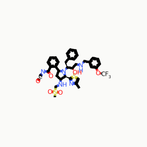 Cc1csc([C@H]2C(NCS(C)(=O)=O)CC(c3ccccc3C(=O)N=C=O)N2[C@@H](Cc2ccccc2)[C@H](O)CNCc2cccc(OC(F)(F)F)c2)n1